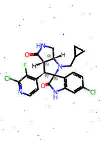 O=C1NC[C@H]2[C@@H]1[C@H](c1ccnc(Cl)c1F)[C@]1(C(=O)Nc3cc(Cl)ccc31)N2CC1CC1